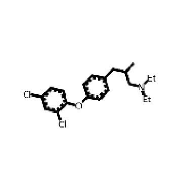 CCN(CC)CC(C)Cc1ccc(Oc2ccc(Cl)cc2Cl)cc1